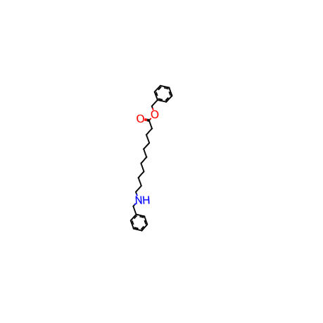 O=C(CCCCCCCCCCNCc1ccccc1)OCc1ccccc1